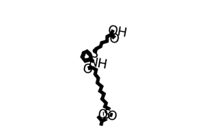 CC(C)CS(=O)(=O)CCCCCCCCCCCC(=O)Nc1ccccc1SCCCCCC(=O)O